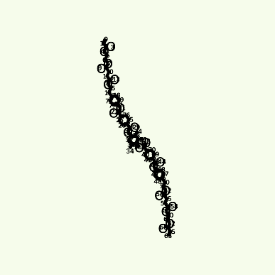 C=CC(=O)OCCOC(=O)CCC(=O)OCCc1ccc(OC(=O)C2CCC(C(=O)Oc3cc(C)c(OC(=O)C4CCC(C(=O)Oc5ccc(CCOC(=O)CCC(=O)OCCOC(=O)C=C)cc5)CC4)c(C)c3C)CC2)cc1